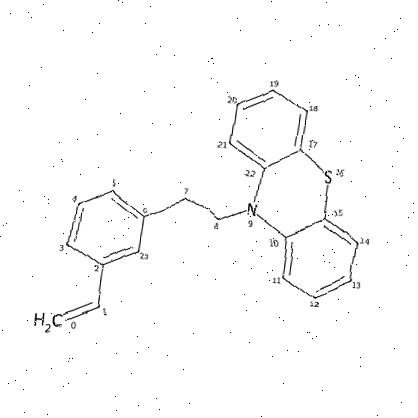 C=Cc1cccc(CCN2c3ccccc3Sc3ccccc32)c1